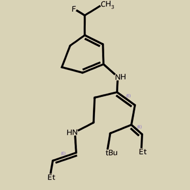 CC/C=C/NCC/C(=C\C(=C\CC)CC(C)(C)C)NC1=CCCC(C(C)F)=C1